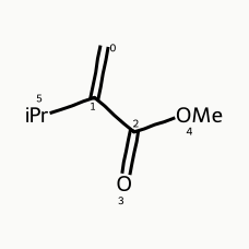 C=C(C(=O)OC)C(C)C